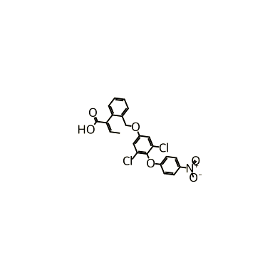 C/C=C(/C(=O)O)c1ccccc1COc1cc(Cl)c(Oc2ccc([N+](=O)[O-])cc2)c(Cl)c1